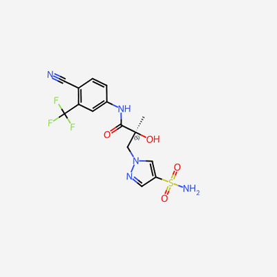 C[C@](O)(Cn1cc(S(N)(=O)=O)cn1)C(=O)Nc1ccc(C#N)c(C(F)(F)F)c1